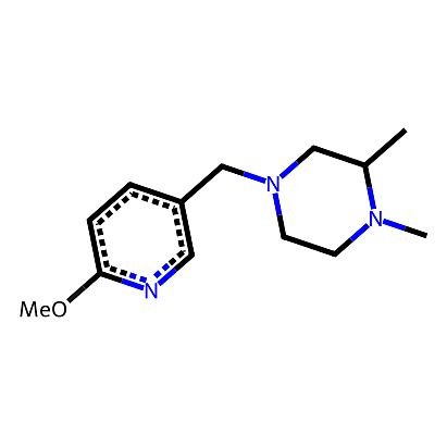 COc1ccc(CN2CCN(C)C(C)C2)cn1